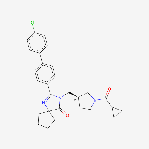 O=C(C1CC1)N1CC[C@@H](CN2C(=O)C3(CCCC3)N=C2c2ccc(-c3ccc(Cl)cc3)cc2)C1